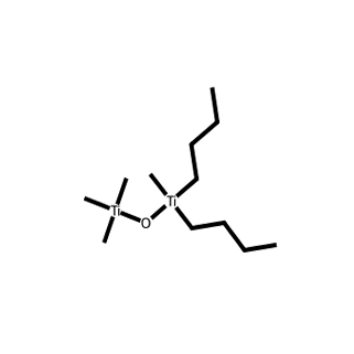 CCC[CH2][Ti]([CH3])([CH2]CCC)[O][Ti]([CH3])([CH3])[CH3]